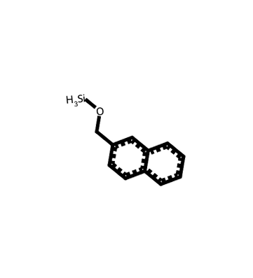 [SiH3]OCc1ccc2ccccc2c1